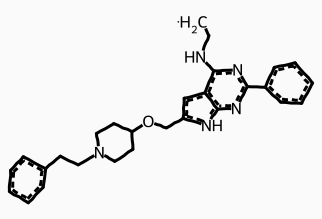 [CH2]CNc1nc(-c2ccccc2)nc2[nH]c(COC3CCN(CCc4ccccc4)CC3)cc12